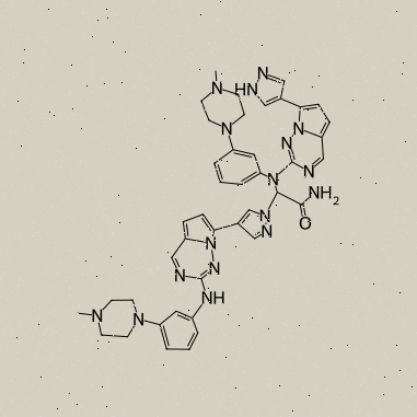 CN1CCN(c2cccc(Nc3ncc4ccc(-c5cnn(C(C(N)=O)N(c6cccc(N7CCN(C)CC7)c6)c6ncc7ccc(-c8cn[nH]c8)n7n6)c5)n4n3)c2)CC1